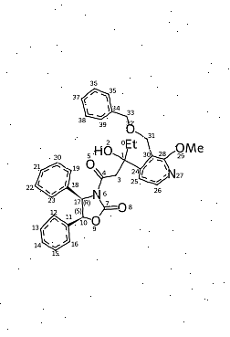 CCC(O)(CC(=O)N1C(=O)O[C@@H](c2ccccc2)[C@H]1c1ccccc1)c1ccnc(OC)c1COCc1ccccc1